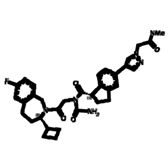 CNC(=O)Cn1cc(-c2ccc3c(c2)CC[C@@H]3C(=O)N(CC(=O)N2Cc3ccc(F)cc3CC[C@@H]2C2CCC2)C(N)=O)cn1